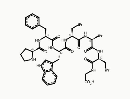 CC(C)C[C@H](NC(=O)[C@H](Cc1c[nH]c2ccccc12)NC(=O)[C@H](Cc1ccccc1)NC(=O)[C@@H]1CCCN1)C(=O)N[C@H](C(=O)N[C@@H](CC(C)C)C(=O)NCC(=O)O)C(C)C